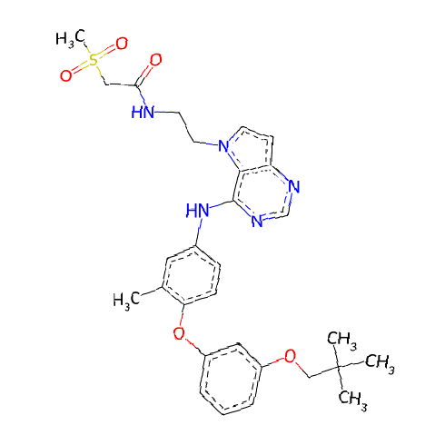 Cc1cc(Nc2ncnc3ccn(CCNC(=O)CS(C)(=O)=O)c23)ccc1Oc1cccc(OCC(C)(C)C)c1